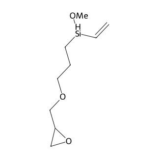 C=C[SiH](CCCOCC1CO1)OC